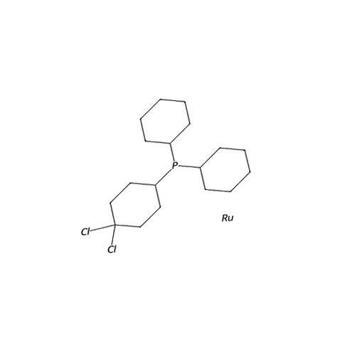 ClC1(Cl)CCC(P(C2CCCCC2)C2CCCCC2)CC1.[Ru]